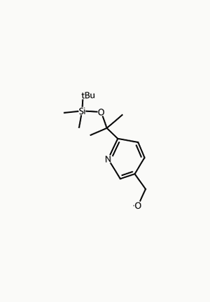 CC(C)(O[Si](C)(C)C(C)(C)C)c1ccc(C[O])cn1